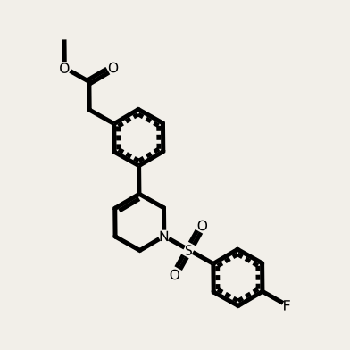 COC(=O)Cc1cccc(C2=CCCN(S(=O)(=O)c3ccc(F)cc3)C2)c1